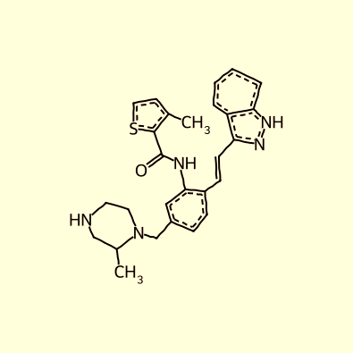 Cc1ccsc1C(=O)Nc1cc(CN2CCNCC2C)ccc1/C=C/c1n[nH]c2ccccc12